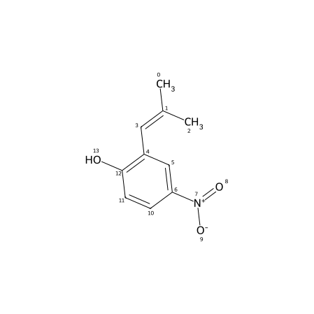 CC(C)=Cc1cc([N+](=O)[O-])ccc1O